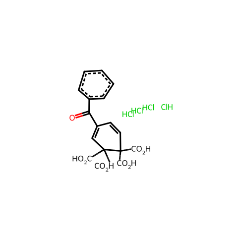 Cl.Cl.Cl.Cl.O=C(C1=CC(C(=O)O)(C(=O)O)C(C(=O)O)(C(=O)O)C=C1)c1ccccc1